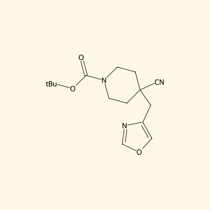 CC(C)(C)OC(=O)N1CCC(C#N)(Cc2cocn2)CC1